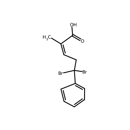 CC(=CCC(Br)(Br)c1ccccc1)C(=O)O